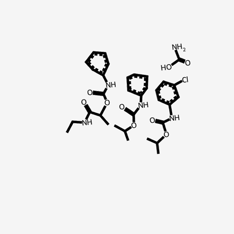 CC(C)OC(=O)Nc1cccc(Cl)c1.CC(C)OC(=O)Nc1ccccc1.CCNC(=O)C(C)OC(=O)Nc1ccccc1.NC(=O)O